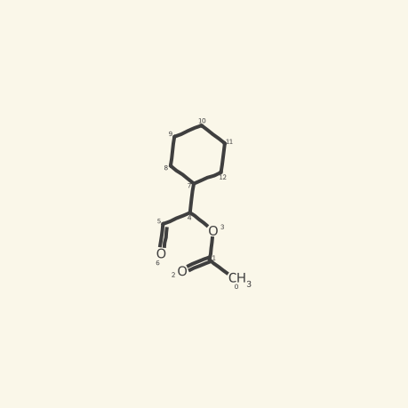 CC(=O)OC(C=O)C1CCCCC1